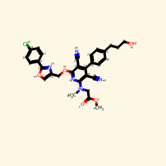 COC(=O)CN(C)c1nc(OCc2coc(-c3ccc(Cl)cc3)n2)c(C#N)c(-c2ccc(CCCO)cc2)c1C#N